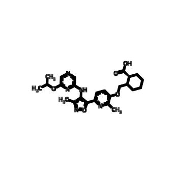 Cc1nc(-c2onc(C)c2Nc2cncc(OC(C)C)n2)ccc1OCC1CCCC[C@@H]1C(=O)O